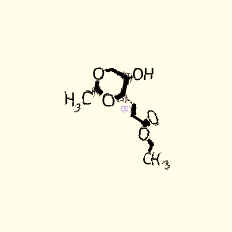 CCOC(=O)/C=C/[C@@H]1O[C@H](C)OC[C@H]1O